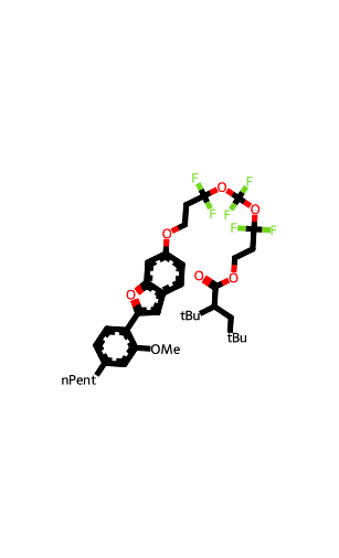 CCCCCc1ccc(-c2cc3ccc(OCCC(F)(F)OC(F)(F)OC(F)(F)CCOC(=O)C(CC(C)(C)C)C(C)(C)C)cc3o2)c(OC)c1